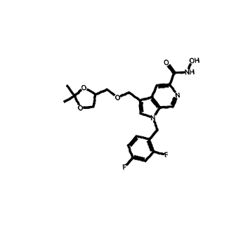 CC1(C)OCC(COCc2cn(Cc3ccc(F)cc3F)c3cnc(C(=O)NO)cc23)O1